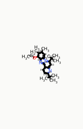 C[SiH2]Oc1c(C)c(C)cc2c1nc1c3ccc(C(C)(C)C)nc3cc(C(C)(C)C)n21